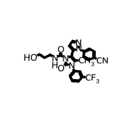 Cc1c(-c2ccnn2-c2ccc(C#N)cc2)n(C(=O)NCCCO)c(=O)n1-c1cccc(C(F)(F)F)c1